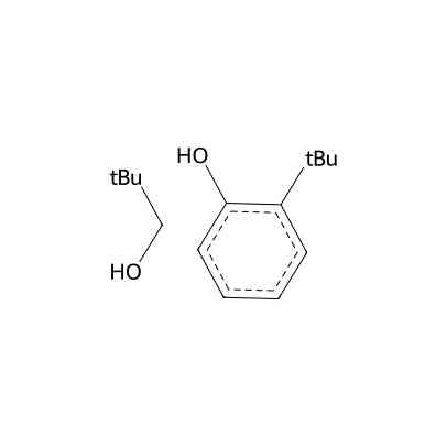 CC(C)(C)CO.CC(C)(C)c1ccccc1O